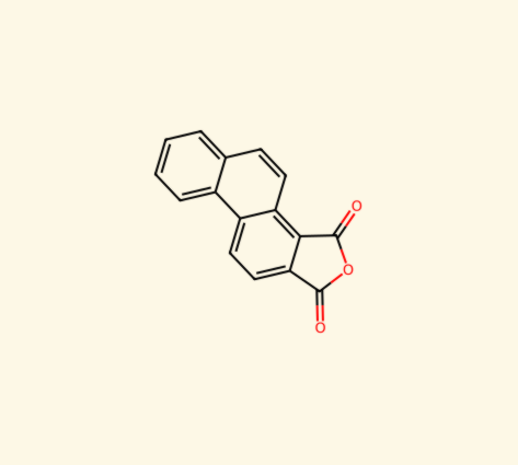 O=C1OC(=O)c2c1ccc1c2ccc2ccccc21